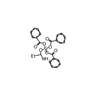 CCC(N)O[Si](OC(=O)c1ccccc1)(OC(=O)c1ccccc1)OC(=O)c1ccccc1